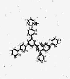 C1=CNC(c2ccc(-c3cc(-c4ccc(-c5ccccc5)nc4)cc(-c4nc(-c5ccccc5)c5ccc(-c6ccccc6)cc5n4)c3)cc2)N=C1